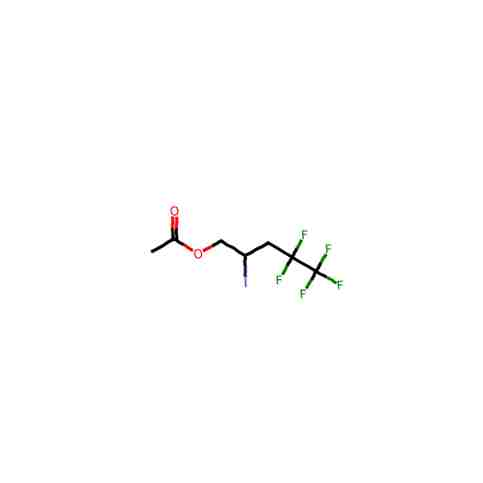 CC(=O)OCC(I)CC(F)(F)C(F)(F)F